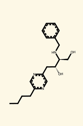 CCCCc1cnc(C[C@@H](O)[C@H](CO)NCc2ccccc2)cn1